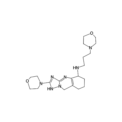 C1CC2=C(N=C3N=C(N4CCOCC4)NN3C2)C(NCCCN2CCOCC2)C1